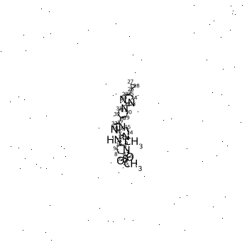 Cc1nc(S(C)(=O)=O)ccc1Nc1nccn2c(C3=CCN(c4ncc(C5CC5)cn4)CC3)cnc12